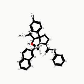 CCCC(C(=O)OC)C1(c2ccc(Cl)cc2)CC[C@@H](C(=O)Nc2ccccc2)N1S(=O)(=O)c1ccc2ccccc2c1